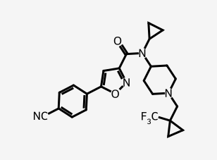 N#Cc1ccc(-c2cc(C(=O)N(C3CC3)C3CCN(CC4(C(F)(F)F)CC4)CC3)no2)cc1